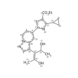 CCOC(=O)c1sc(-c2ccn3ncc(/C(=C(\C)O)C(C)O)c3c2)nc1C1CC1